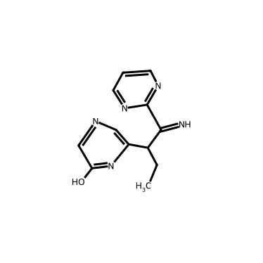 CCC(C(=N)c1ncccn1)c1cncc(O)n1